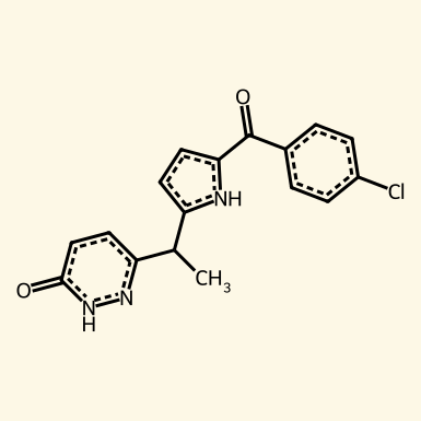 CC(c1ccc(=O)[nH]n1)c1ccc(C(=O)c2ccc(Cl)cc2)[nH]1